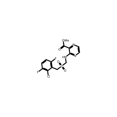 COC(=O)c1nccnc1NCS(=O)(=O)Cc1c(F)ccc(F)c1Cl